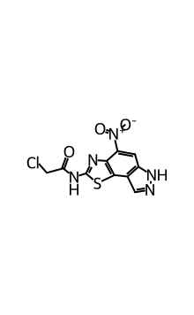 O=C(CCl)Nc1nc2c([N+](=O)[O-])cc3[nH]ncc3c2s1